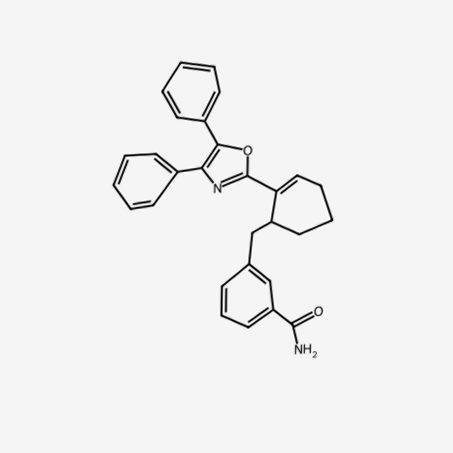 NC(=O)c1cccc(CC2CCCC=C2c2nc(-c3ccccc3)c(-c3ccccc3)o2)c1